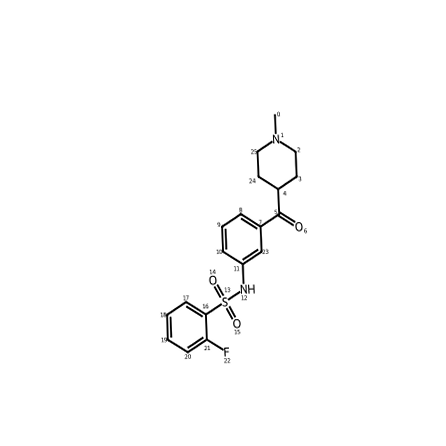 CN1CCC(C(=O)c2cccc(NS(=O)(=O)c3ccccc3F)c2)CC1